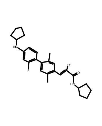 CC/C(=C\c1cc(C)c(-c2ccc(NC3CCCC3)cc2F)cc1C)C(=O)NC1CCCC1